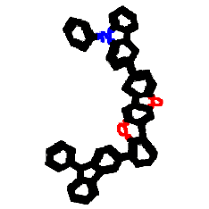 c1ccc(C2c3ccccc3-c3cc(-c4cccc5c4oc4cc6c(cc45)oc4ccc(-c5ccc7c(c5)c5ccccc5n7-c5ccccc5)cc46)ccc32)cc1